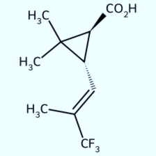 CC(=C[C@H]1[C@H](C(=O)O)C1(C)C)C(F)(F)F